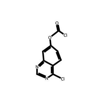 O=C(Cl)Oc1ccc2c(Cl)ncnc2c1